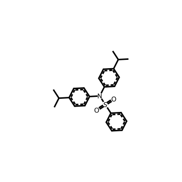 CC(C)c1ccc(N(c2ccc(C(C)C)cc2)S(=O)(=O)c2ccccc2)cc1